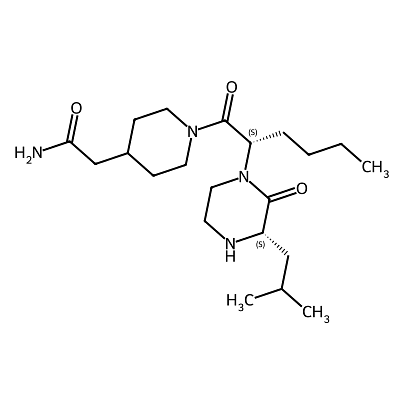 CCCC[C@@H](C(=O)N1CCC(CC(N)=O)CC1)N1CCN[C@@H](CC(C)C)C1=O